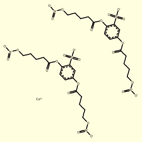 O=C(CCCCO[N+](=O)[O-])Oc1ccc(OC(=O)CCCCO[N+](=O)[O-])c(S(=O)(=O)[O-])c1.O=C(CCCCO[N+](=O)[O-])Oc1ccc(OC(=O)CCCCO[N+](=O)[O-])c(S(=O)(=O)[O-])c1.[Ca+2]